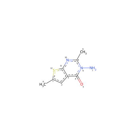 Cc1cc2c(=O)n(N)c(C)nc2s1